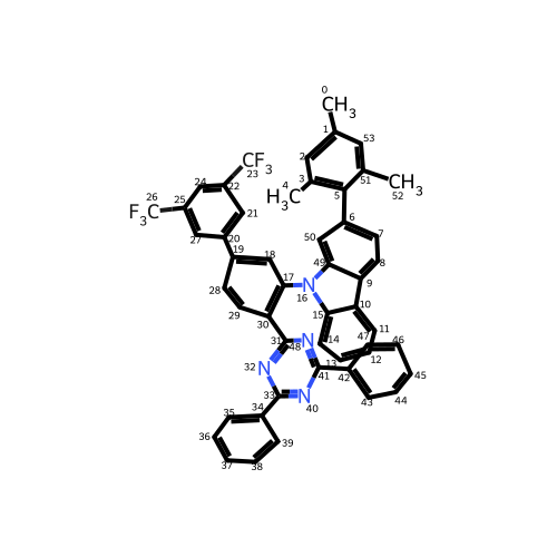 Cc1cc(C)c(-c2ccc3c4ccccc4n(-c4cc(-c5cc(C(F)(F)F)cc(C(F)(F)F)c5)ccc4-c4nc(-c5ccccc5)nc(-c5ccccc5)n4)c3c2)c(C)c1